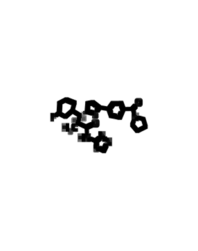 C[C@@H](C(=O)Nc1nncs1)[C@@H](c1ccc(-c2ccc(C(=O)N3CCCC3)cc2)s1)C1C=CC=C(F)C1